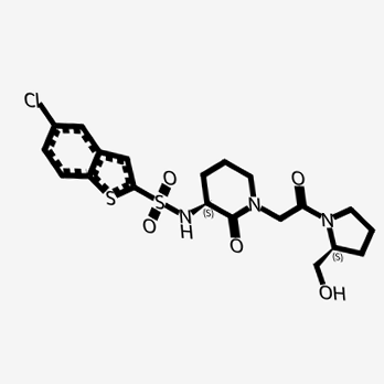 O=C1[C@@H](NS(=O)(=O)c2cc3cc(Cl)ccc3s2)CCCN1CC(=O)N1CCC[C@H]1CO